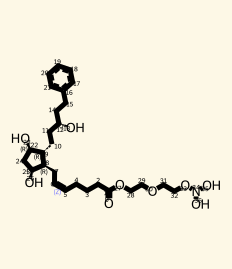 O=C(CCC/C=C\C[C@@H]1[C@@H](CC[C@@H](O)CCc2ccccc2)[C@H](O)C[C@@H]1O)OCCOCCON(O)O